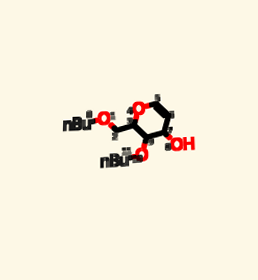 CCCCOCC1OC=CC(O)C1OCCCC